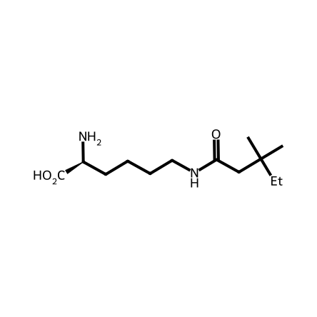 CCC(C)(C)CC(=O)NCCCC[C@H](N)C(=O)O